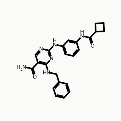 NC(=O)c1cnc(Nc2cccc(NC(=O)C3CCC3)c2)nc1NCc1ccccc1